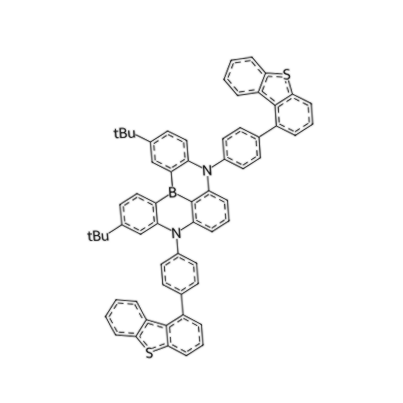 CC(C)(C)c1ccc2c(c1)B1c3ccc(C(C)(C)C)cc3N(c3ccc(-c4cccc5sc6ccccc6c45)cc3)c3cccc(c31)N2c1ccc(-c2cccc3sc4ccccc4c23)cc1